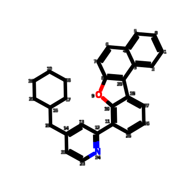 c1ccc2c(c1)ccc1oc3c(-c4cc(CC5CCCCC5)ccn4)cccc3c12